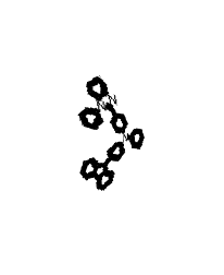 c1ccc(N(c2ccc(-c3nc4ccccc4n3-c3ccccc3)cc2)c2ccc(C3c4ccccc4-c4ccccc43)cc2)cc1